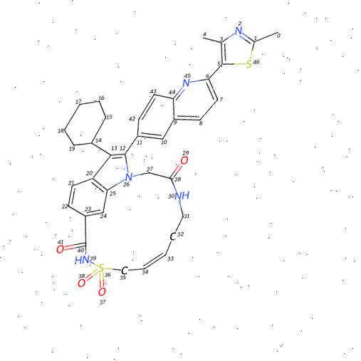 Cc1nc(C)c(-c2ccc3cc(-c4c(C5CCCCC5)c5ccc6cc5n4CC(=O)NCCC=CCS(=O)(=O)NC6=O)ccc3n2)s1